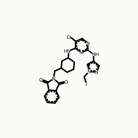 O=C1c2ccccc2C(=O)N1CC1CCCC(Nc2nc(Nc3cnn(CI)c3)ncc2Cl)C1